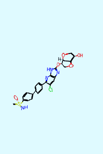 CS(=N)(=O)c1ccc(-c2ccc(-c3nc4[nH]c(O[C@@H]5COC6[C@H](O)CO[C@@H]65)nc4cc3Cl)cc2)cc1